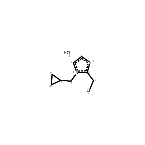 Cl.ClCc1nccn1CC1CC1